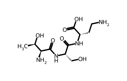 C[C@@H](O)[C@H](N)C(=O)N[C@@H](CO)C(=O)N[C@@H](CCN)C(=O)O